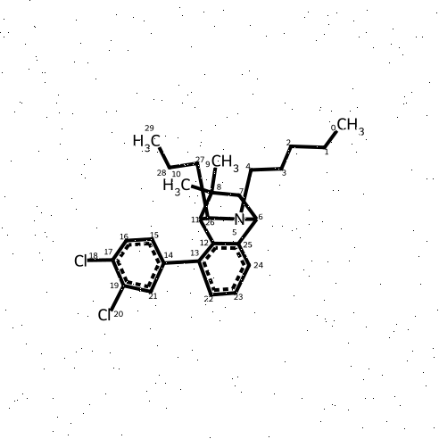 CCCCCN1C2CC(C)(C)C(c3c(-c4ccc(Cl)c(Cl)c4)cccc32)C1CCC